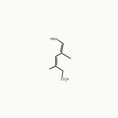 CCCCCCC=C(C)C=C(C)CC(=O)O